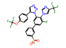 O=[SH](=O)c1cccc(-c2cc(F)c(-n3cnc(C(F)(F)F)c3)c(-n3nncc3-c3ccc(OC(F)(F)F)cc3)c2)c1